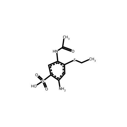 CCSc1cc(N)c(S(=O)(=O)O)cc1NC(C)=O